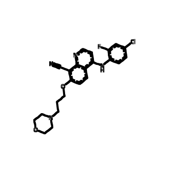 N#Cc1c(OCCCN2CCOCC2)ccc2c(Nc3ccc(Cl)cc3F)ccnc12